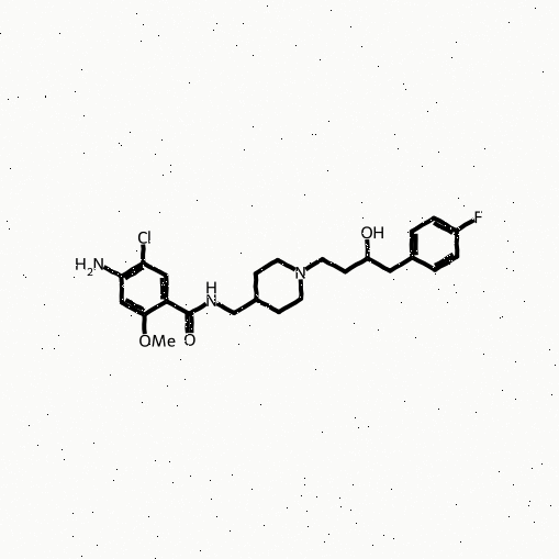 COc1cc(N)c(Cl)cc1C(=O)NCC1CCN(CCC(O)Cc2ccc(F)cc2)CC1